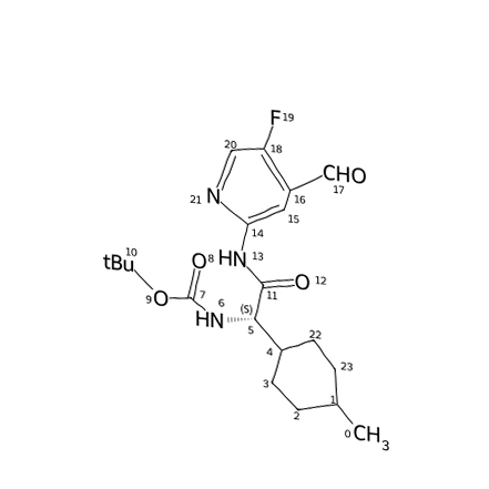 CC1CCC([C@H](NC(=O)OC(C)(C)C)C(=O)Nc2cc(C=O)c(F)cn2)CC1